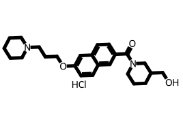 Cl.O=C(c1ccc2cc(OCCCN3CCCCC3)ccc2c1)N1CCCC(CO)C1